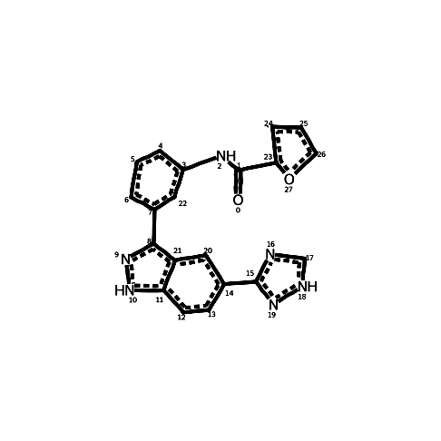 O=C(Nc1cccc(-c2n[nH]c3ccc(-c4nc[nH]n4)cc23)c1)c1[c]cco1